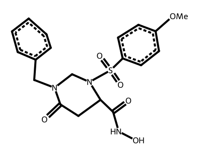 COc1ccc(S(=O)(=O)N2CN(Cc3ccccc3)C(=O)CC2C(=O)NO)cc1